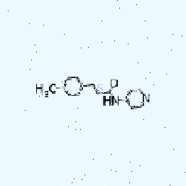 Cc1ccc(/C=C/C(=O)Nc2ccncc2)cc1